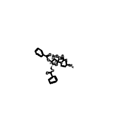 CC(=O)O[C@H]1[C@H](OC(=O)c2ccccc2)[C@@H](COC(=O)c2ccccc2)O[C@@]1(C#N)n1ccc(N)nc1=O